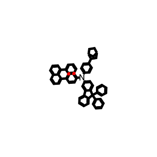 c1ccc(-c2cccc3cccc(-c4ccc(N(c5ccc(C6CC7CCC6C7)cc5)c5ccc6c(c5)-c5ccccc5C6(c5ccccc5)c5ccccc5)cc4)c23)cc1